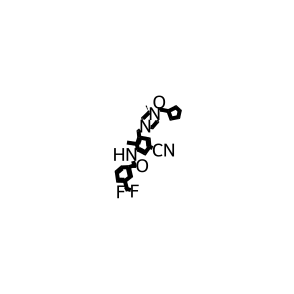 Cc1c(CN2CCN(C(=O)C3CCCC3)[C@@H](C)C2)cc(C#N)cc1NC(=O)c1cccc(C(F)F)c1